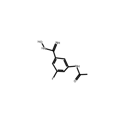 CC(=O)Nc1cc(F)cc(C(=N)NO)c1